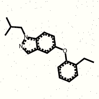 CCc1ccccc1Oc1ccc2c(cnn2CC(C)C)c1